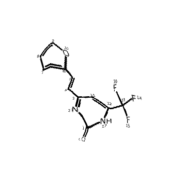 O=c1nc(C=Cc2ccco2)cc(C(F)(F)F)[nH]1